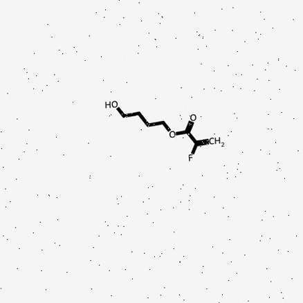 C=C(F)C(=O)OCCCCO